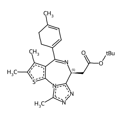 CC1=CC=C(C2=N[C@@H](CC(=O)OC(C)(C)C)c3nnc(C)n3-c3sc(C)c(C)c32)CC1